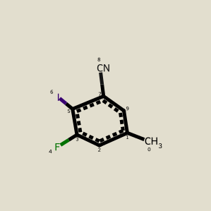 Cc1cc(F)c(I)c(C#N)c1